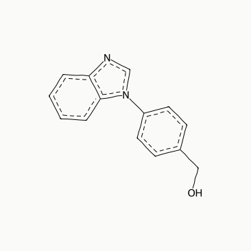 OCc1ccc(-n2cnc3ccccc32)cc1